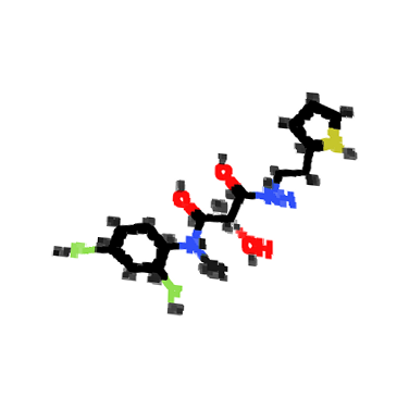 CCN(C(=O)[C@@H](O)C(=O)NCCc1cccs1)c1ccc(F)cc1F